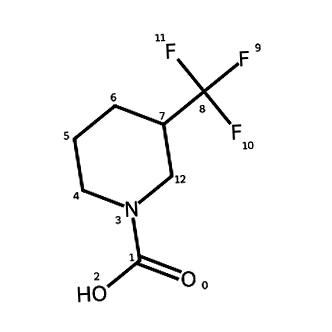 O=C(O)N1CCCC(C(F)(F)F)C1